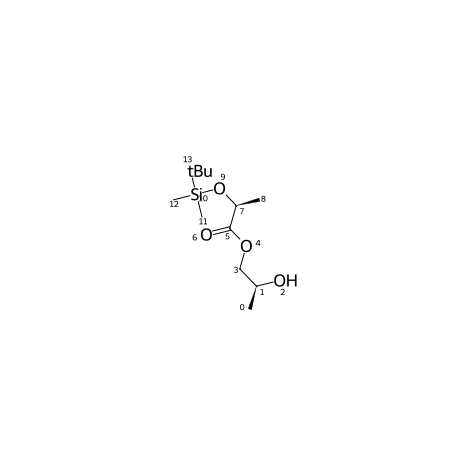 C[C@H](O)COC(=O)[C@H](C)O[Si](C)(C)C(C)(C)C